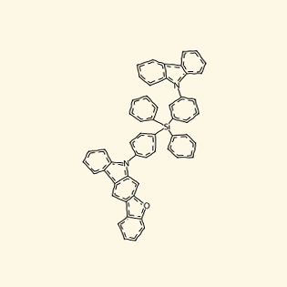 c1ccc([Si](c2ccccc2)(c2ccc(-n3c4ccccc4c4cc5c(cc43)oc3ccccc35)cc2)c2cccc(-n3c4ccccc4c4ccccc43)c2)cc1